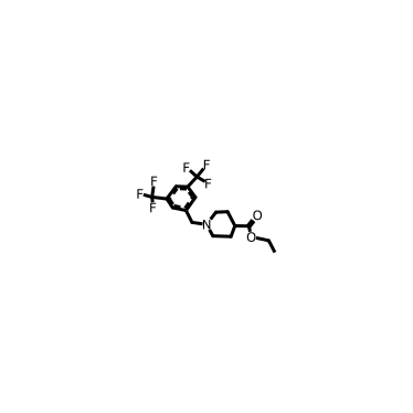 CCOC(=O)C1CCN(Cc2cc(C(F)(F)F)cc(C(F)(F)F)c2)CC1